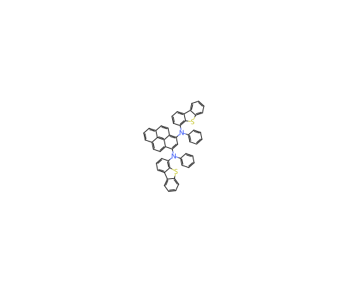 c1ccc(N(c2cc(N(c3ccccc3)c3cccc4c3sc3ccccc34)c3ccc4cccc5ccc2c3c54)c2cccc3c2sc2ccccc23)cc1